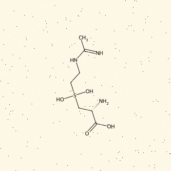 CC(=N)NCCS(O)(O)C[C@H](N)C(=O)O